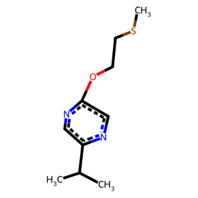 CSCCOc1cnc(C(C)C)cn1